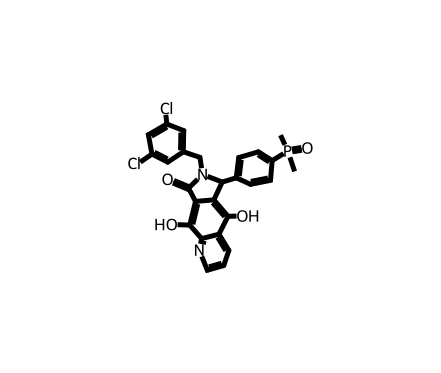 CP(C)(=O)c1ccc(C2c3c(c(O)c4ncccc4c3O)C(=O)N2Cc2cc(Cl)cc(Cl)c2)cc1